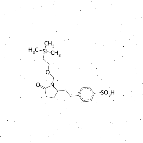 C[Si](C)(C)CCOCN1C(=O)CCC1CCc1ccc(S(=O)(=O)O)cc1